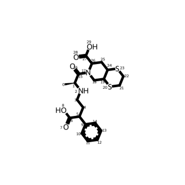 C[C@H](NCCC(C(=O)O)c1ccccc1)C(=O)N1CC2SCCSC2CC1C(=O)O